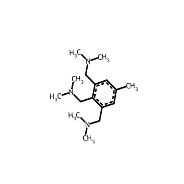 Cc1cc(CN(C)C)c(CN(C)C)c(CN(C)C)c1